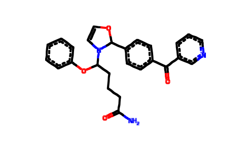 NC(=O)CCCC(Oc1ccccc1)N1C=COC1c1ccc(C(=O)c2cccnc2)cc1